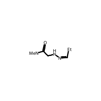 CC/C=N\NCC(=O)NC